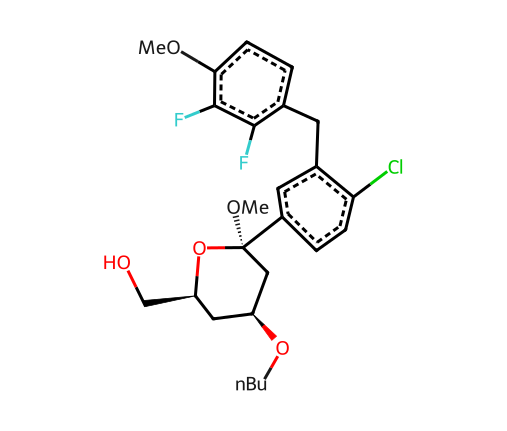 CCCCO[C@H]1C[C@@H](CO)O[C@@](OC)(c2ccc(Cl)c(Cc3ccc(OC)c(F)c3F)c2)C1